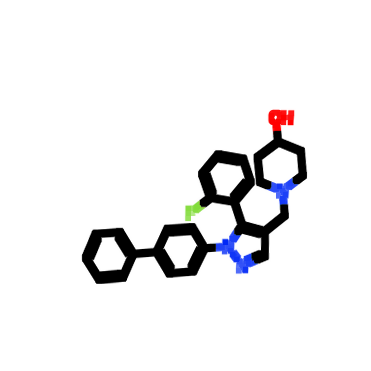 OC1CCN(Cc2cnn(-c3ccc(-c4ccccc4)cc3)c2-c2ccccc2F)CC1